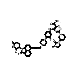 CN1CCN(C2CCCN(c3nnc(C(N)=O)c(Nc4ccc(N5CCN(CC#Cc6ccc7c8c(cccc68)C(=O)N7C6CCC(=O)NC6=O)CC5)c(F)c4)n3)C2)C1=O